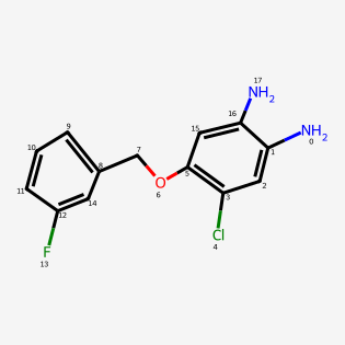 Nc1cc(Cl)c(OCc2cccc(F)c2)cc1N